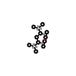 c1ccc(-c2nc(-c3ccccc3)nc(-c3cc(-c4cccc(-c5cc(-c6nc(-c7ccccc7)nc(-c7ccccc7)n6)cc(-n6c7ccccc7c7ccccc76)c5)c4)cc(-n4c5ccccc5c5ccccc54)c3)n2)cc1